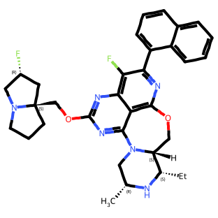 CC[C@@H]1N[C@H](C)CN2c3nc(OC[C@@]45CCCN4C[C@H](F)C5)nc4c(F)c(-c5cccc6ccccc56)nc(c34)OC[C@H]12